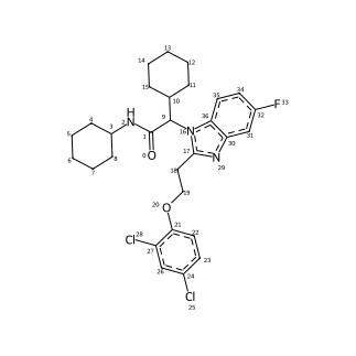 O=C(NC1CCCCC1)C(C1CCCCC1)n1c(CCOc2ccc(Cl)cc2Cl)nc2cc(F)ccc21